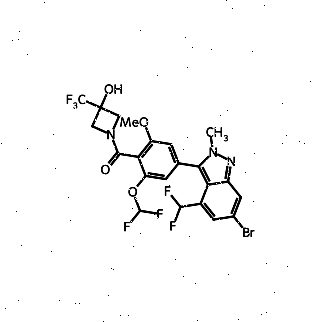 COc1cc(-c2c3c(C(F)F)cc(Br)cc3nn2C)cc(OC(F)F)c1C(=O)N1CC(O)(C(F)(F)F)C1